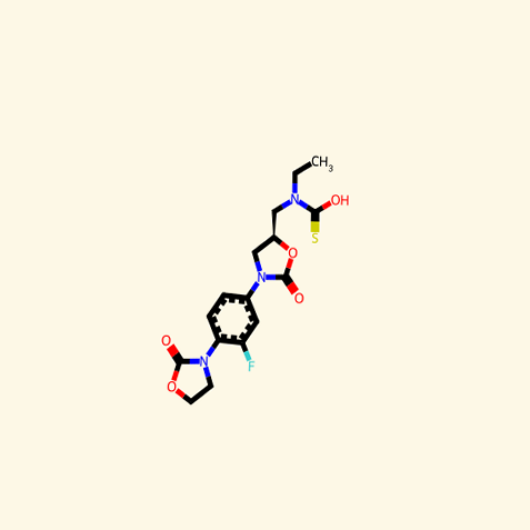 CCN(C[C@@H]1CN(c2ccc(N3CCOC3=O)c(F)c2)C(=O)O1)C(O)=S